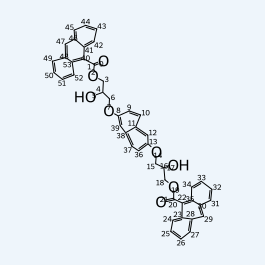 O=C(OCC(O)COc1ccc2cc(OCC(O)COC(=O)c3c4ccccc4cc4ccccc34)ccc2c1)c1c2ccccc2cc2ccccc12